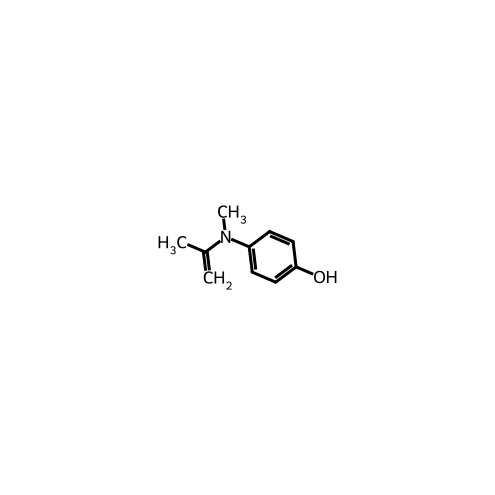 C=C(C)N(C)c1ccc(O)cc1